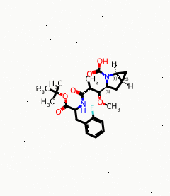 COC(C(C)C(=O)NC(Cc1ccccc1F)C(=O)OC(C)(C)C)[C@@H]1C[C@@H]2C[C@@H]2N1C(=O)O